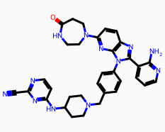 N#Cc1nccc(NC2CCN(Cc3ccc(-n4c(-c5cccnc5N)nc5ccc(N6CCNC(=O)CC6)nc54)cc3)CC2)n1